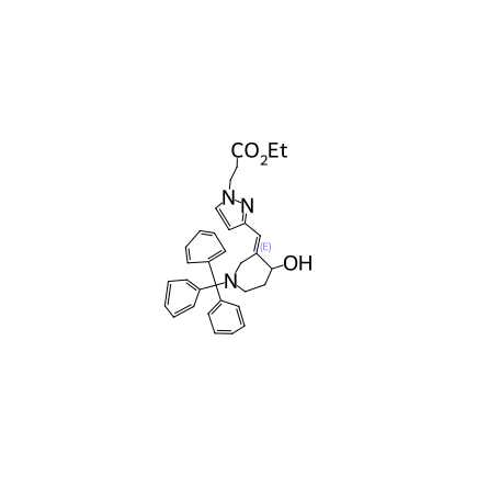 CCOC(=O)CCn1ccc(/C=C2\CN(C(c3ccccc3)(c3ccccc3)c3ccccc3)CCC2O)n1